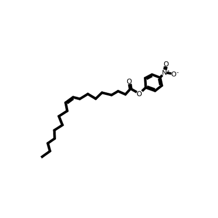 CCCCCCCC/C=C\CCCCCCCC(=O)Oc1ccc([N+](=O)[O-])cc1